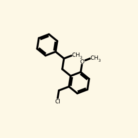 COc1cccc(CCl)c1CC(C)c1ccccc1